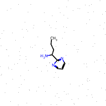 CCCC(N)c1ncccn1